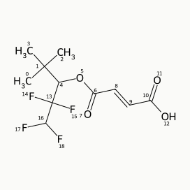 CC(C)(C)C(OC(=O)/C=C/C(=O)O)C(F)(F)C(F)F